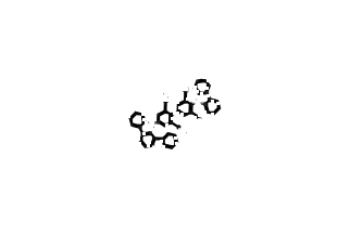 N#Cc1cc(-n2c3ccccc3c3ccc4oc5ccccc5c4c32)cc(C#N)c1-c1cc(C#N)c(-n2c3ccccc3c3ccccc32)c(C#N)c1